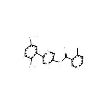 Cc1ccncc1C(=O)Nc1cnc(-c2cc(C=O)ccc2C=O)cn1